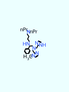 CCCN(CCC)CCCCNC(CN(Cc1ncc[nH]1)Cc1nccn1C)c1ccccc1